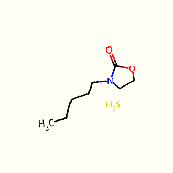 CCCCCN1CCOC1=O.S